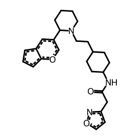 O=C(Cc1ccon1)NC1CCC(CCN2CCCCC2c2coc3cccc-3c2)CC1